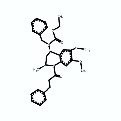 CCOC(=O)N(Cc1ccccc1)[C@@H]1C[C@H](C)N(C(=O)CCc2ccccc2)c2cc(OC)c(OC)cc21